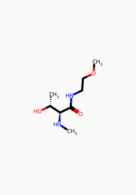 CN[C@H](C(=O)NCCOC)[C@@H](C)O